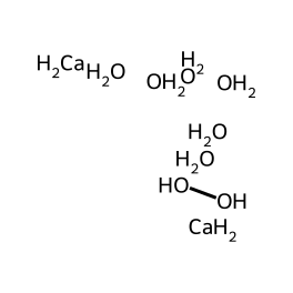 O.O.O.O.O.O.OO.[CaH2].[CaH2]